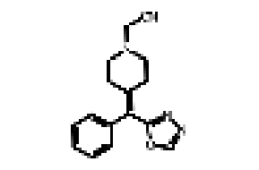 N#CCN1CCC(=C(c2ccccc2)c2nnco2)CC1